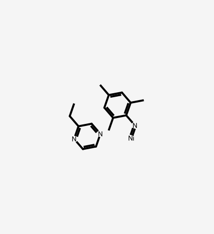 CCc1cnccn1.Cc1cc(C)c([N]=[Ni])c(C)c1